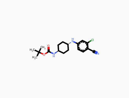 CC(C)(C)OC(=O)N[C@H]1CC[C@H](Nc2ccc(C#N)c(Cl)c2)CC1